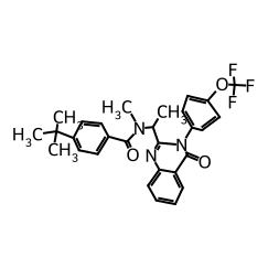 CC(c1nc2ccccc2c(=O)n1-c1ccc(OC(F)(F)F)cc1)N(C)C(=O)c1ccc(C(C)(C)C)cc1